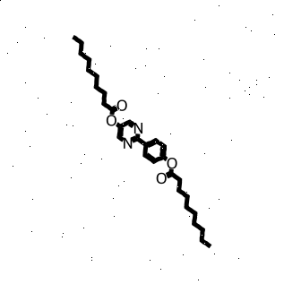 CCCCCCCCCC(=O)Oc1ccc(-c2ncc(OC(=O)CCCCCCCCC)cn2)cc1